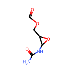 NC(=O)NC1OC1COC=O